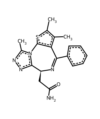 Cc1sc2c(c1C)C(c1ccccc1)=N[C@@H](CC(N)=O)c1nnc(C)n1-2